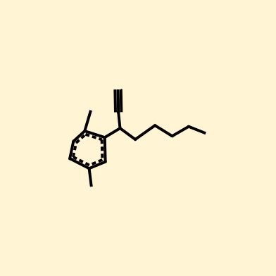 [C]#CC(CCCCC)c1cc(C)ccc1C